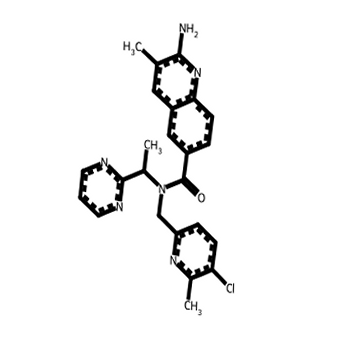 Cc1cc2cc(C(=O)N(Cc3ccc(Cl)c(C)n3)C(C)c3ncccn3)ccc2nc1N